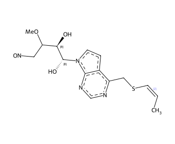 C/C=C\SCc1ncnc2c1ccn2[C@H](O)[C@H](O)C(CN=O)OC